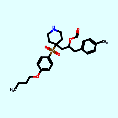 CCCCOc1ccc(S(=O)(=O)C2(CC(Cc3ccc(C)cc3)OC=O)CCNCC2)cc1